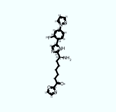 N[C@@H](CCCCCC(=O)c1ncco1)c1ncc(-c2ccc(-n3cccn3)cc2F)[nH]1